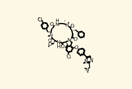 CC[C@H]1C(=O)N[C@@H](COC)C(=O)N(C)[C@@H](Cc2ccc(Cl)cc2)CC(=O)NC[C@H](C)N(C)C(=O)[C@H](Cc2ccccc2)CC(=O)N1Cc1ccc(Cl)cc1Oc1ccc(-c2cnc(CN(C)C)n2C)cc1